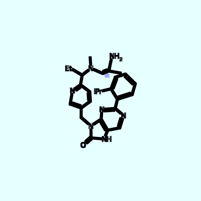 CCC(c1ccc(Cn2c(=O)[nH]c3cnc(-c4ccccc4C(C)C)nc32)cn1)N(C)/C=C(/C)N